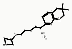 CC1(C)CNc2nc(CCCCCOC3CNC3)ccc2C1.Cl.Cl